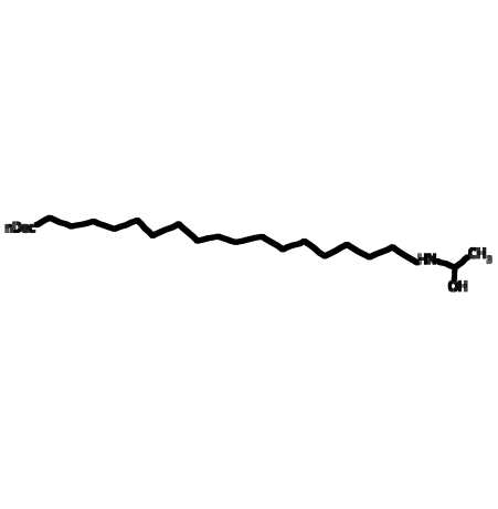 CCCCCCCCCCCCCCCCCCCCCCCCCCCCNC(C)O